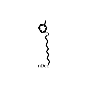 CCCCCCCCCCCCCCCCCCOc1cccc(C)c1